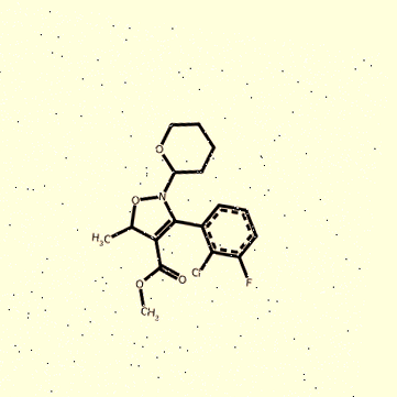 COC(=O)C1=C(c2cccc(F)c2Cl)N(C2CCCCO2)OC1C